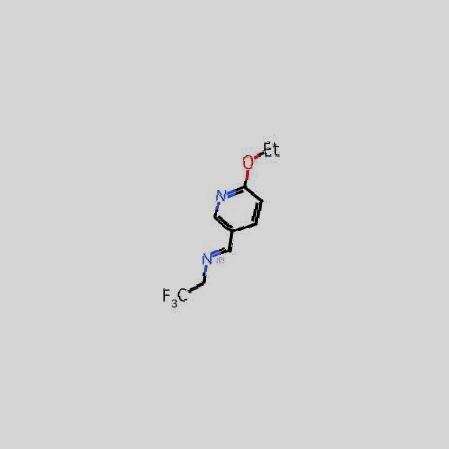 CCOc1ccc(/C=N/CC(F)(F)F)cn1